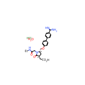 CCNC(=O)CN1C(=O)[C@H](CC(=O)O)C[C@H]1COc1ccc(-c2ccc(C(=N)N)cc2)cc1.Cl.O